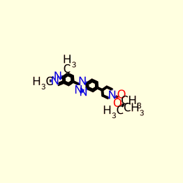 Cc1cc(-c2nnc3cc(C4CCN(C(=O)OC(C)(C)C)CC4)ccc3n2)cc2cn(C)nc12